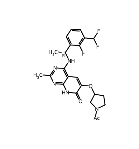 CC(=O)N1CCC(Oc2cc3c(N[C@H](C)c4cccc(C(F)F)c4F)nc(C)nc3[nH]c2=O)C1